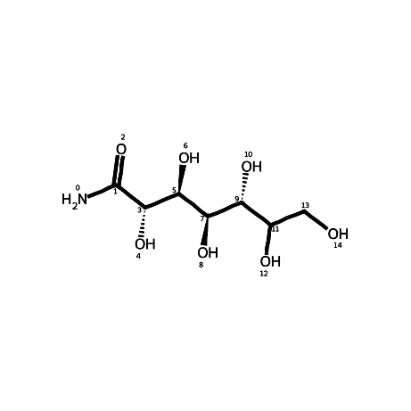 NC(=O)[C@@H](O)[C@@H](O)[C@H](O)[C@H](O)C(O)CO